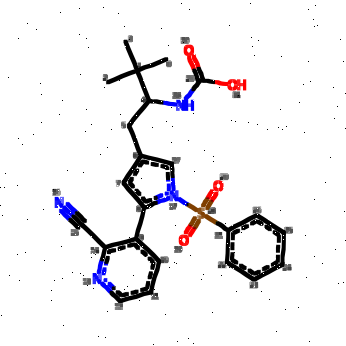 CC(C)(C)C(Cc1cc(-c2cccnc2C#N)n(S(=O)(=O)c2ccccc2)c1)NC(=O)O